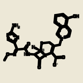 CON=C(C(=O)NC1C(=O)N2C(C(=O)[O-])=C(C[n+]3ccc4c(O)cccc4c3)CS[C@@H]12)c1csc(N)n1